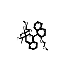 COCOc1ccc2ccccc2c1C1=c2ccccc2=CC(C(F)(F)F)(C(F)(F)F)[C@@H]1OCOC